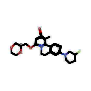 Cc1c2n(c(OC[C@@H]3COCCO3)cc1=O)CCc1cc(N3CCCC(F)C3)ccc1-2